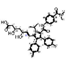 CC(C)n1c(/C=C/[C@@H](O)C[C@@H](O)CC(=O)O)c(-c2ccc(F)cc2)c(-c2ccc(F)cc2)c1C(=O)Nc1ccc(C(=O)N(C)C)cc1